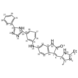 CCc1nc(C)c(/C=C2\C(=O)Nc3cc(Nc4cccc(-c5nnc(-c6ccccc6)[nH]5)c4)ccc32)[nH]1